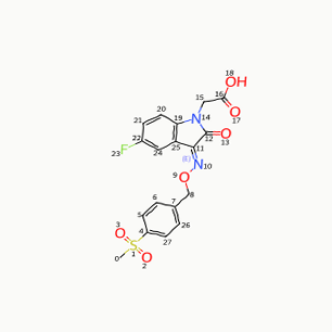 CS(=O)(=O)c1ccc(CO/N=C2/C(=O)N(CC(=O)O)c3ccc(F)cc32)cc1